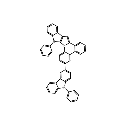 c1ccc(-n2c3ccccc3c3cc(-c4ccc5c(c4)c4ccccc4c4nc6c7ccccc7n(-c7ccccc7)c6n54)ccc32)cc1